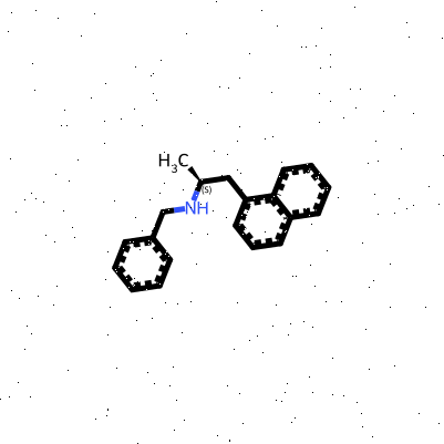 C[C@@H](Cc1cccc2ccccc12)NCc1ccccc1